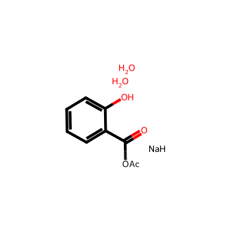 CC(=O)OC(=O)c1ccccc1O.O.O.[NaH]